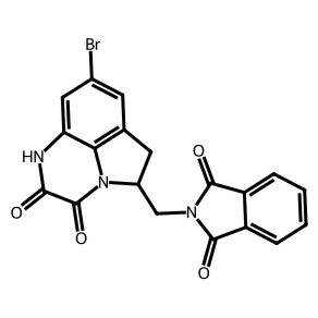 O=C1c2ccccc2C(=O)N1CC1Cc2cc(Br)cc3[nH]c(=O)c(=O)n1c23